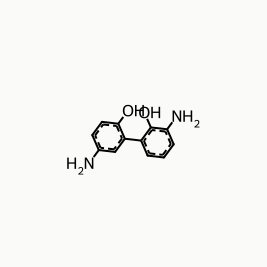 Nc1ccc(O)c(-c2cccc(N)c2O)c1